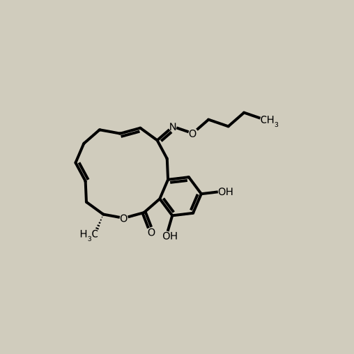 CCCCO/N=C1/C=C/CC/C=C/C[C@@H](C)OC(=O)c2c(O)cc(O)cc2C1